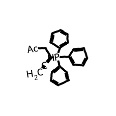 C=C=C(CC(C)=O)[PH](c1ccccc1)(c1ccccc1)c1ccccc1